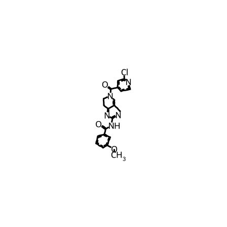 COc1cccc(C(=O)NC2=NCC3=CN(C(=O)c4ccnc(Cl)c4)CCC3=N2)c1